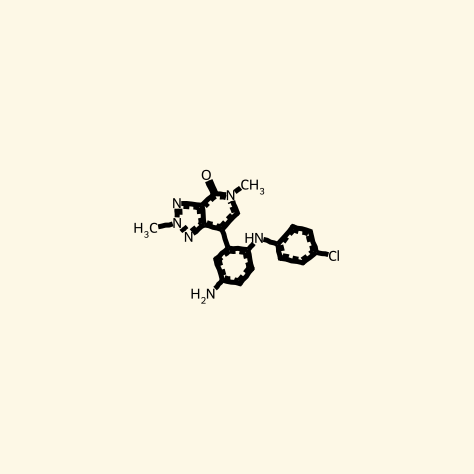 Cn1nc2c(-c3cc(N)ccc3Nc3ccc(Cl)cc3)cn(C)c(=O)c2n1